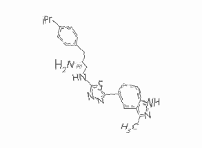 Cc1n[nH]c2ccc(-c3nnc(NC[C@H](N)Cc4ccc(C(C)C)cc4)s3)cc12